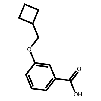 O=C(O)c1cccc(OCC2CCC2)c1